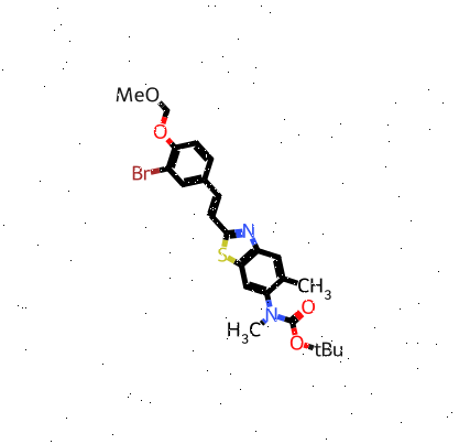 COCOc1ccc(/C=C/c2nc3cc(C)c(N(C)C(=O)OC(C)(C)C)cc3s2)cc1Br